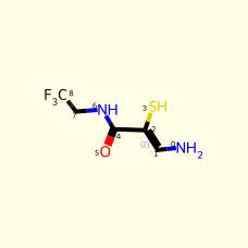 N/C=C(\S)C(=O)NCC(F)(F)F